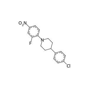 O=[N+]([O-])c1ccc(N2CCC(c3ccc(Cl)cc3)CC2)c(F)c1